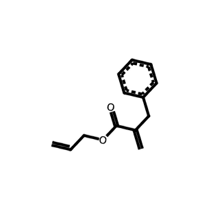 C=CCOC(=O)C(=C)Cc1ccccc1